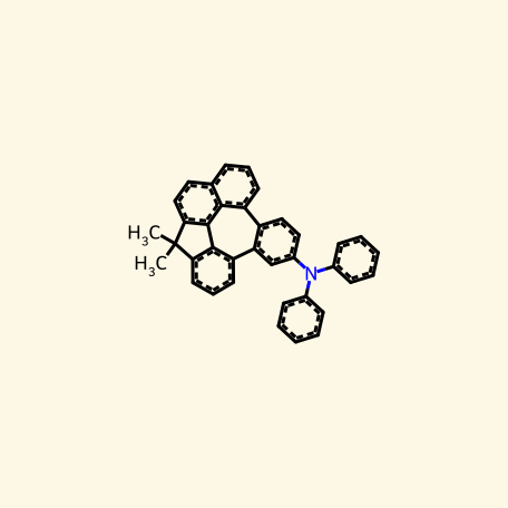 CC1(C)c2cccc3c2-c2c1ccc1cccc(c21)-c1ccc(N(c2ccccc2)c2ccccc2)cc1-3